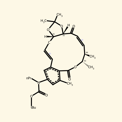 CCCN(C(=O)OC(C)(C)C)c1cc(C)c2c(c1)/C=C/C[C@@H]1OC(C)(C)O[C@@H]1C(=O)/C=C\[C@@H](C)[C@H](C)OC2=O